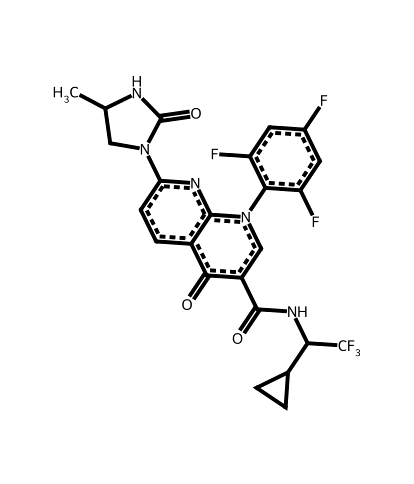 CC1CN(c2ccc3c(=O)c(C(=O)NC(C4CC4)C(F)(F)F)cn(-c4c(F)cc(F)cc4F)c3n2)C(=O)N1